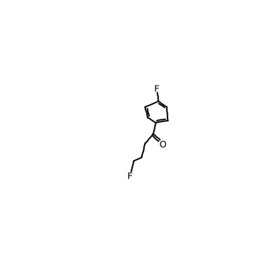 O=C(CCCF)c1ccc(F)cc1